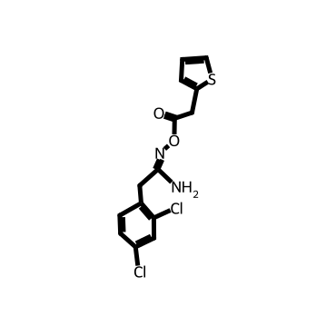 N/C(Cc1ccc(Cl)cc1Cl)=N\OC(=O)Cc1cccs1